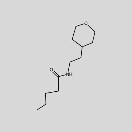 CCCCC(=O)NCCC1CCOCC1